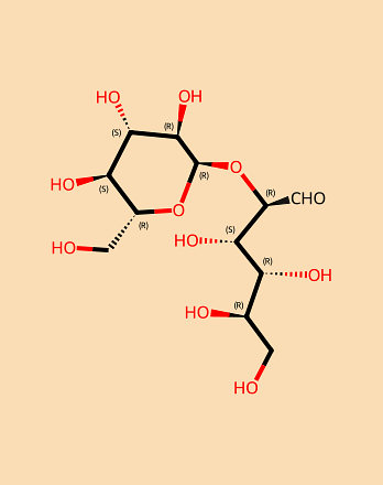 O=C[C@H](O[C@H]1O[C@H](CO)[C@@H](O)[C@H](O)[C@H]1O)[C@@H](O)[C@H](O)[C@H](O)CO